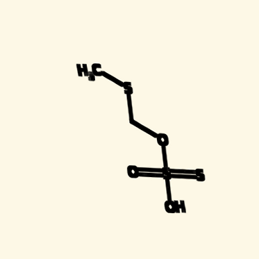 CSCOS(=O)(O)=S